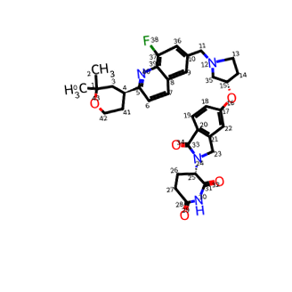 CC1(C)C[C@@H](c2ccc3cc(CN4CC[C@H](Oc5ccc6c(c5)CN([C@H]5CCC(=O)NC5=O)C6=O)C4)cc(F)c3n2)CCO1